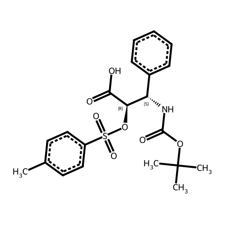 Cc1ccc(S(=O)(=O)O[C@@H](C(=O)O)[C@@H](NC(=O)OC(C)(C)C)c2ccccc2)cc1